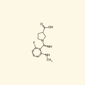 CNc1cccc(F)c1C(=N)N1CCC(C(=O)O)C1